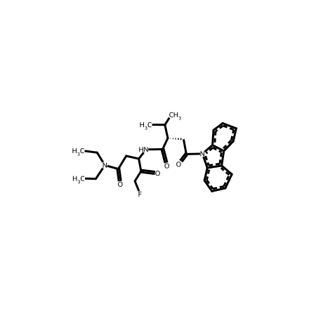 CCN(CC)C(=O)CC(NC(=O)[C@@H](CC(=O)n1c2ccccc2c2ccccc21)C(C)C)C(=O)CF